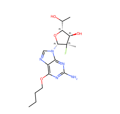 CCCCOc1nc(N)nc2c1ncn2[C@@H]1O[C@H](C(C)O)[C@@H](O)[C@@]1(C)F